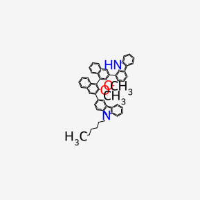 CCCCCCn1c2ccccc2c2cc(-c3cc4ccccc4c(-c4c(OC)c(-c5cccc6c5[nH]c5ccccc56)cc5ccccc45)c3OC)ccc21